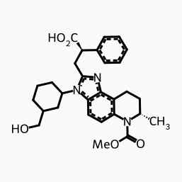 COC(=O)N1c2ccc3c(nc(C[C@@H](C(=O)O)c4ccccc4)n3C3CCCC(CO)C3)c2CC[C@@H]1C